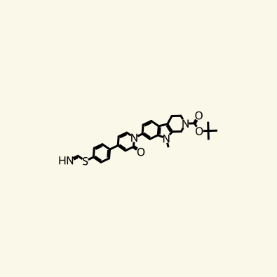 Cn1c2c(c3ccc(-n4ccc(-c5ccc(SC=N)cc5)cc4=O)cc31)CCN(C(=O)OC(C)(C)C)C2